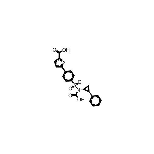 O=C(O)c1ccc(-c2ccc(S(=O)(=O)N(C(=O)O)[C@@H]3C[C@H]3c3ccccc3)cc2)s1